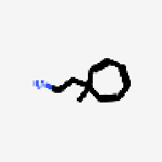 CC1(CCN)C=CC=CC=C1